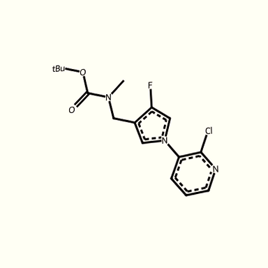 CN(Cc1cn(-c2cccnc2Cl)cc1F)C(=O)OC(C)(C)C